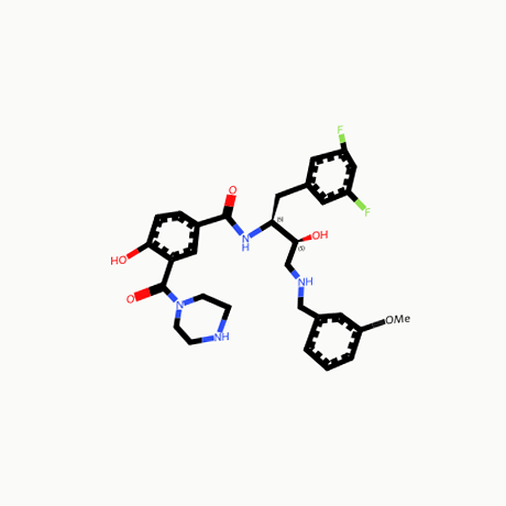 COc1cccc(CNC[C@H](O)[C@H](Cc2cc(F)cc(F)c2)NC(=O)c2ccc(O)c(C(=O)N3CCNCC3)c2)c1